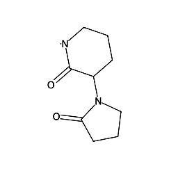 O=C1[N]CCCC1N1CCCC1=O